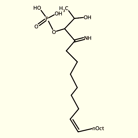 CCCCCCCC/C=C\CCCCCCC(=N)C(OP(=O)(O)O)C(C)O